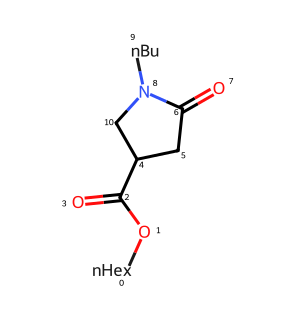 CCCCCCOC(=O)C1CC(=O)N(CCCC)C1